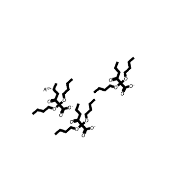 CCCCOC(OCCCC)(C(=O)[O-])C(=O)CCC.CCCCOC(OCCCC)(C(=O)[O-])C(=O)CCC.CCCCOC(OCCCC)(C(=O)[O-])C(=O)CCC.[Al+3]